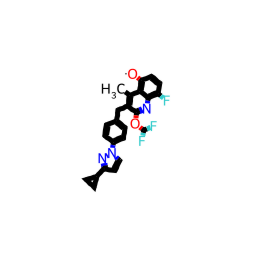 Cc1c(Cc2ccc(-n3ccc(C4CC4)n3)cc2)c(OC(F)F)nc2c(F)ccc([O])c12